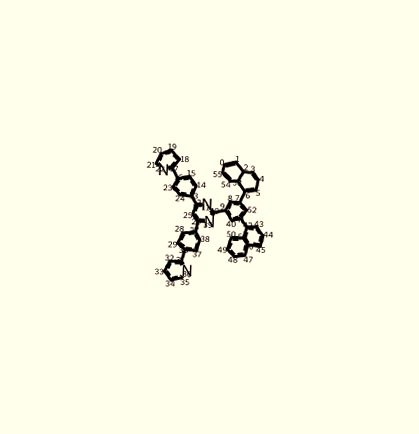 C1=CC2C=CC=C(c3cc(-c4nc(-c5ccc(-c6ccccn6)cc5)cc(-c5ccc(-c6ccccn6)cc5)n4)cc(-c4cccc5ccccc45)c3)C2C=C1